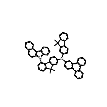 CC1(C)c2ccccc2-c2ccc(N(c3ccc4c(c3)C(C)(C)c3cccc(-n5c6ccccc6c6c7ccccc7ccc65)c3-4)c3ccc4c5ccccc5c5ccccc5c4c3)cc21